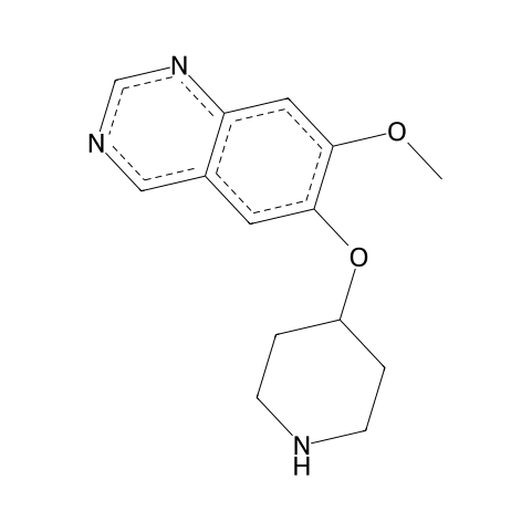 COc1cc2ncncc2cc1OC1CCNCC1